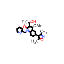 COc1c(C(O)C(F)(F)F)c(=O)n(Cc2ccccn2)c2ccc(-c3c(C)noc3C)cc12